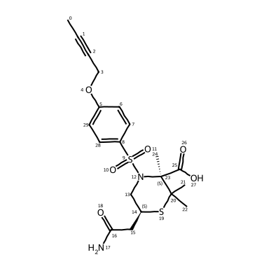 CC#CCOc1ccc(S(=O)(=O)N2C[C@H](CC(N)=O)SC(C)(C)[C@]2(C)C(=O)O)cc1